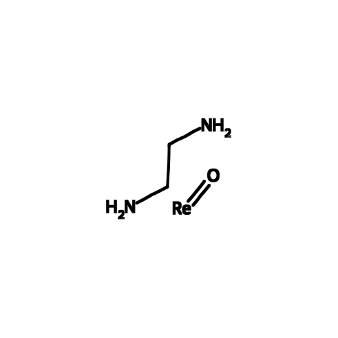 NCCN.[O]=[Re]